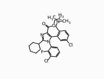 CCOC(=O)c1nc(C2CCCCC2)n(-c2cccc(Cl)c2F)c1-c1cc(Cl)ccc1CN(C)C